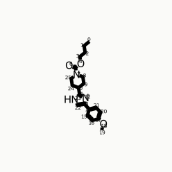 CCCCOC(=O)N1CCC(c2nc(-c3ccc(OC)cc3)c[nH]2)CC1